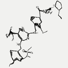 CCN1CCC[C@H]1CNC(=O)c1ccc(Nc2ncc(C(F)(F)F)c(NCc3ccc(C)cc3N(C)S(C)(=O)=O)n2)c(OC)c1